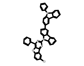 Clc1ccc2oc3c(-c4ccccc4)nc(-n4c5ccccc5c5cc(-c6ccc7c(c6)c6ccccc6n7-c6ccccc6)ccc54)nc3c2c1